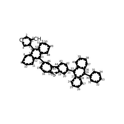 Cc1cocc1-c1c2ccccc2c(-c2ccc3sc4cc(-c5c6ccccc6c(-c6ccccc6)c6ccccc56)ccc4c3c2)c2ccccc12